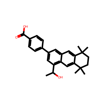 CC(O)c1cc(-c2ccc(C(=O)O)cc2)cc2cc3c(cc12)C(C)(C)CCC3(C)C